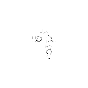 C[C@@H](C(=O)Nc1nc2cc3c(cc2s1)CCC3)N1CCC(F)(F)C(c2c[nH]c(=O)c(CO)c2)C1